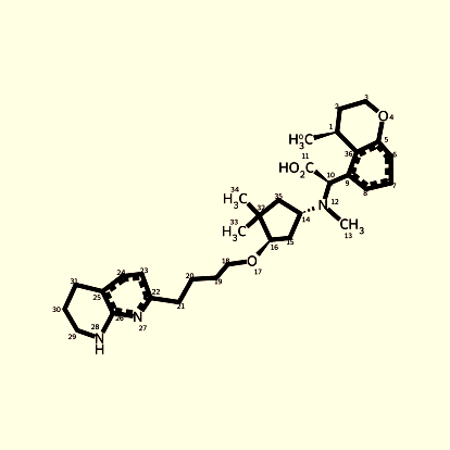 C[C@H]1CCOc2cccc([C@H](C(=O)O)N(C)[C@@H]3C[C@@H](OCCCCc4ccc5c(n4)NCCC5)C(C)(C)C3)c21